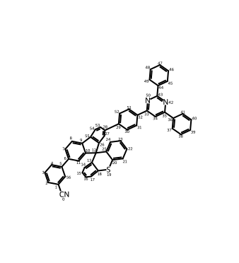 N#Cc1cccc(-c2ccc3c(c2)C2(c4ccccc4Sc4ccccc42)c2cc(-c4ccc(-c5cc(-c6ccccc6)nc(-c6ccccc6)n5)cc4)ccc2-3)c1